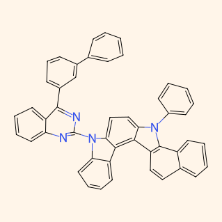 c1ccc(-c2cccc(-c3nc(-n4c5ccccc5c5c6c7ccc8ccccc8c7n(-c7ccccc7)c6ccc54)nc4ccccc34)c2)cc1